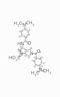 CN(C)c1ccc(C(=O)Nc2nn(C(=O)O)c3c2CN(C(=O)c2ccc(N(C)C)cc2)C3)cc1